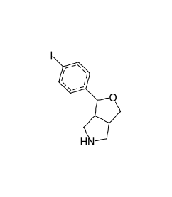 Ic1ccc(C2OCC3CNCC32)cc1